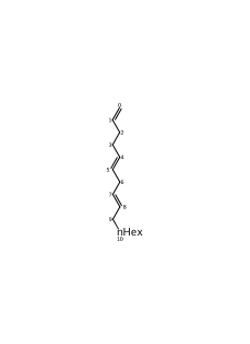 C=CCCC=CCC=CCCCCCCC